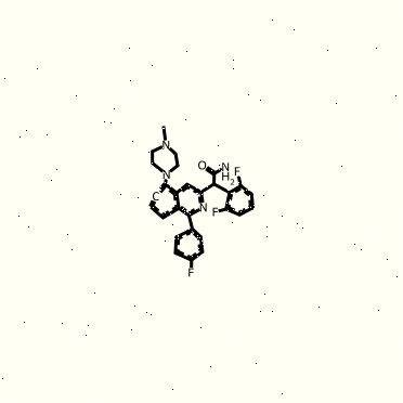 CN1CCN(c2cccc3c(-c4ccc(F)cc4)nc(C(C(N)=O)c4c(F)cccc4F)cc23)CC1